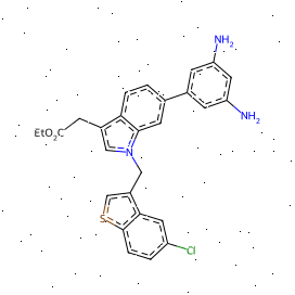 CCOC(=O)Cc1cn(Cc2csc3ccc(Cl)cc23)c2cc(-c3cc(N)cc(N)c3)ccc12